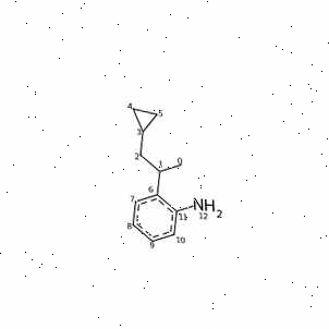 CC(CC1CC1)c1ccccc1N